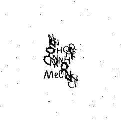 COc1cc(Nc2nc3n(n2)CCCCC3c2ccc(-n3cncn3)cc2)ccc1-n1cnc(Cl)c1.O=C(O)C(F)(F)F